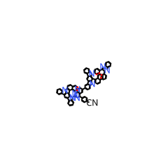 N#Cc1ccc(-c2nc(-n3c4ccccc4c4cc5c6ccccc6n6c7ccc8ccccc8c7c(c43)c56)nc3ncc(-c4ccc5c(c4)c4cc6c7ccccc7n(-c7ccc(-c8nc9ccccc9nc8-c8ccccc8)cc7)c6c6c7c8ccccc8ccc7n5c46)cc23)cc1